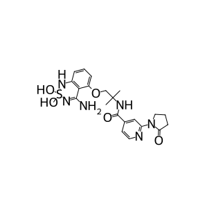 CC(C)(COc1cccc2c1C(N)=NS(O)(O)N2)NC(=O)c1ccnc(N2CCCC2=O)c1